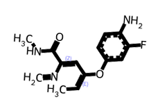 C=N/C(=C\C(=C/C)Oc1ccc(N)c(F)c1)C(=O)NC